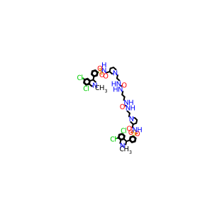 CN1Cc2c(Cl)cc(Cl)cc2C(c2cccc(S(=O)(=O)NC(=O)C3CCCN(CCCNC(=O)NCCCCNC(=O)NCCCN4CCCC(C(=O)NS(=O)(=O)c5cccc(C6CN(C)Cc7c(Cl)cc(Cl)cc76)c5)C4)C3)c2)C1